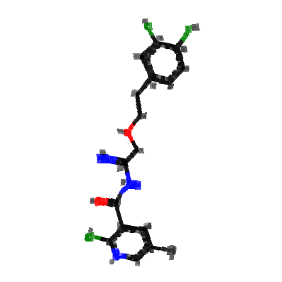 CCc1cnc(Cl)c(C(=O)NC(=N)COCCc2ccc(F)c(Cl)c2)c1